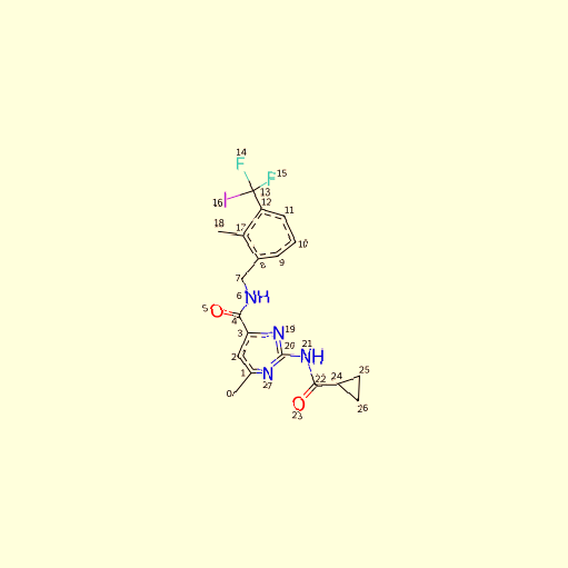 Cc1cc(C(=O)NCc2cccc(C(F)(F)I)c2C)nc(NC(=O)C2CC2)n1